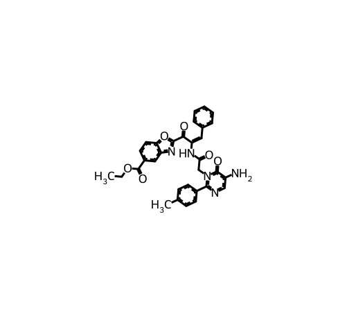 CCOC(=O)c1ccc2oc(C(=O)C(=Cc3ccccc3)NC(=O)Cn3c(-c4ccc(C)cc4)ncc(N)c3=O)nc2c1